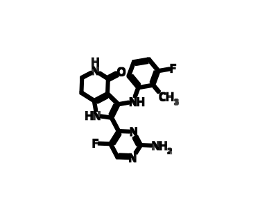 Cc1c(F)cccc1Nc1c(-c2nc(N)ncc2F)[nH]c2c1C(=O)NCC2